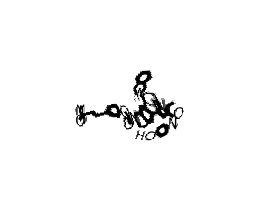 Cc1c(C(=O)N(C)c2ccc(O)cc2)cc(-c2cc3c(cc2C(=O)N2Cc4ccccc4C[C@H]2C)CN(C(=O)Oc2ccc(CCC(=O)N(C)C)cc2)CC3)n1C